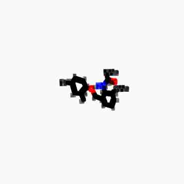 CCc1ccc(OCc2cccc(OC)c2NC(=O)NC)c(C)c1